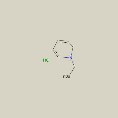 CCCCCN1C=CC=CC1.Cl